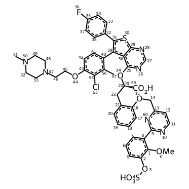 COc1c(OS(=O)(=O)O)cccc1-c1nccc(COc2ccccc2C[C@@H](Oc2ncnc3sc(-c4ccc(F)cc4)c(-c4ccc(OCCN5CCN(C)CC5)c(Cl)c4C)c23)C(=O)O)n1